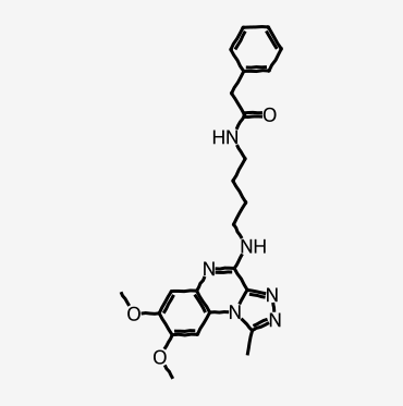 COc1cc2nc(NCCCCNC(=O)Cc3ccccc3)c3nnc(C)n3c2cc1OC